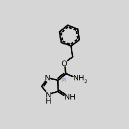 N=C1NC=N/C1=C(/N)OCc1ccccc1